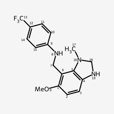 COc1ccc2c(c1CNc1ccc(C(F)(F)F)cc1)N(C)CN2